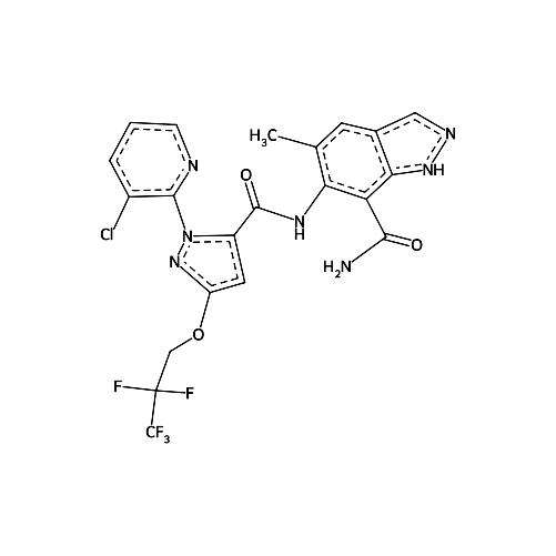 Cc1cc2cn[nH]c2c(C(N)=O)c1NC(=O)c1cc(OCC(F)(F)C(F)(F)F)nn1-c1ncccc1Cl